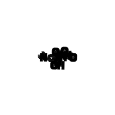 CCN(CC)Cc1ccc(NC(=O)c2coc(N3CCOCC3)n2)c(C(=O)O)c1